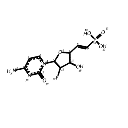 Nc1ccn(C2OC(/C=C/P(=O)(O)O)C(O)C2F)c(=O)n1